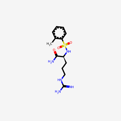 Cc1ccccc1S(=O)(=O)N[C@@H](CCCNC(=N)N)C(N)=O